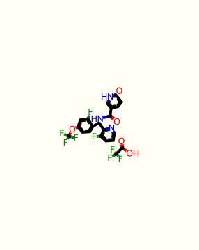 O=C(NC(c1ccc(OC(F)(F)F)cc1F)c1ncccc1F)c1ccc(=O)[nH]c1.O=C(O)C(F)(F)F